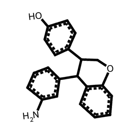 Nc1cccc(C2c3ccccc3OCC2c2ccc(O)cc2)c1